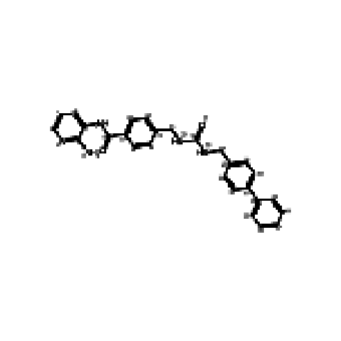 Nc1ncccc1NC(=O)c1ccc(CNC(=O)NCc2ccc(-c3ccccc3)cc2)cc1